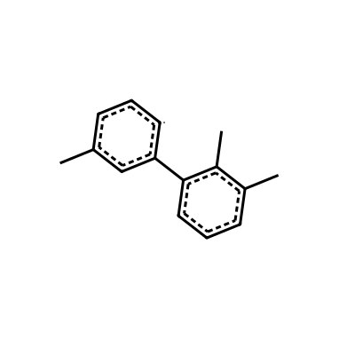 Cc1cc[c]c(-c2cccc(C)c2C)c1